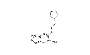 O=[N+]([O-])c1cc2cn[nH]c2cc1OCCN1CCCC1